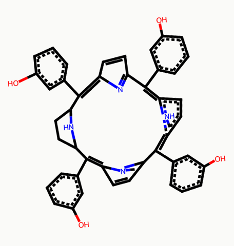 Oc1cccc(C2=C3C=CC(=N3)C(c3cccc(O)c3)=c3ccc([nH]3)=C(c3cccc(O)c3)C3=NC(=C(c4cccc(O)c4)C4CCC2N4)C=C3)c1